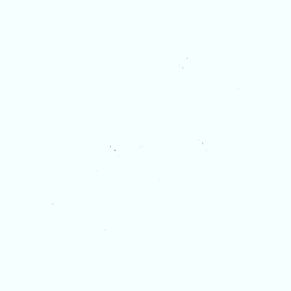 Nc1c(C(=O)Nc2ccccc2)ccnc1I